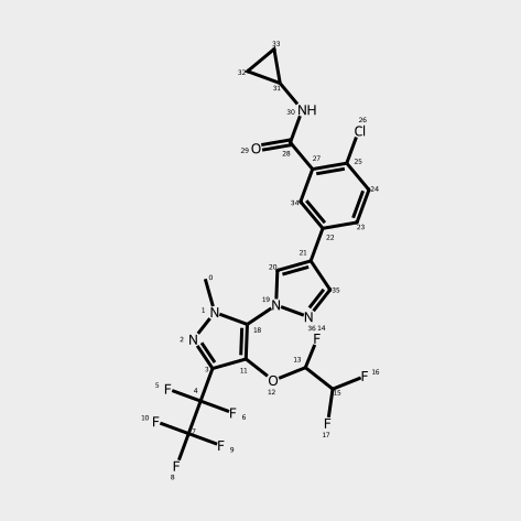 Cn1nc(C(F)(F)C(F)(F)F)c(OC(F)C(F)F)c1-n1cc(-c2ccc(Cl)c(C(=O)NC3CC3)c2)cn1